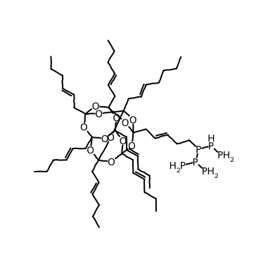 CCC/C=C/CC12OC3(C/C=C/CCC)OC4(C/C=C/CCC)OC(C/C=C/CCC)(O1)OC1(C/C=C/CCCC)OC(C/C=C/CCC)(O2)OC(C/C=C/CCC)(O3)OC(C/C=C/CCP(PP)P(P)P)(O4)O1